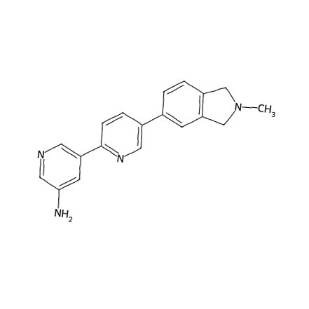 CN1Cc2ccc(-c3ccc(-c4cncc(N)c4)nc3)cc2C1